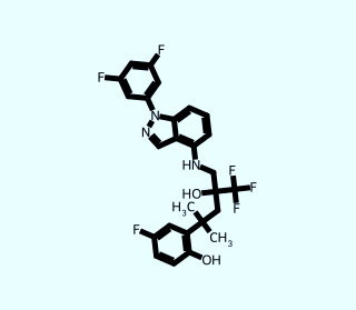 CC(C)(CC(O)(CNc1cccc2c1cnn2-c1cc(F)cc(F)c1)C(F)(F)F)c1cc(F)ccc1O